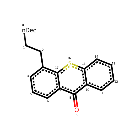 CCCCCCCCCCCCc1cccc2c(=O)c3ccccc3sc12